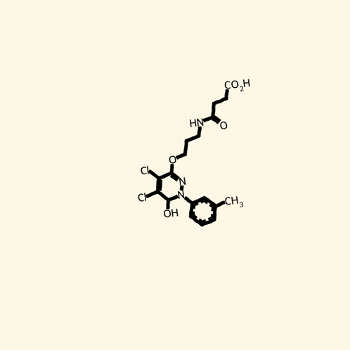 Cc1cccc(N2N=C(OCCCNC(=O)CCC(=O)O)C(Cl)=C(Cl)C2O)c1